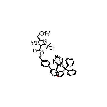 CC(C)(O)c1nc(CO)[nH]c1C(=O)OCc1ccc(-c2ccccc2-c2nnnn2C(c2ccccc2)(c2ccccc2)c2ccccc2)cc1